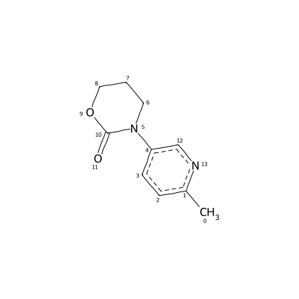 Cc1ccc(N2CCCOC2=O)cn1